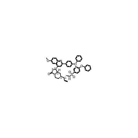 C=C[C@@H](CNS(=O)(=O)c1ccc(Oc2ccccc2)nc1)[C@H]1CCN2C(=O)S[C@@H](c3cc(-c4ccc(Oc5ccccc5)cc4)nc4ccc(OC)cc34)[C@@H]2C1